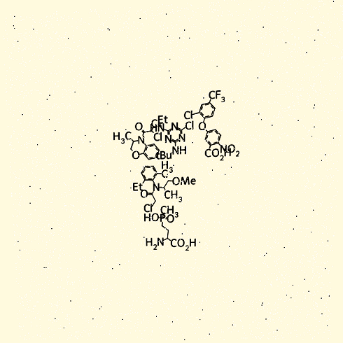 CC1COc2ccccc2N1C(=O)C(Cl)Cl.CCNc1nc(Cl)nc(NC(C)(C)C)n1.CCc1cccc(C)c1N(C(=O)CCl)C(C)COC.CP(=O)(O)CCC(N)C(=O)O.O=C(O)c1cc(Oc2ccc(C(F)(F)F)cc2Cl)ccc1[N+](=O)[O-]